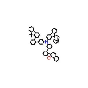 CC1(C)c2ccccc2-c2cccc(-c3ccccc3-c3ccc(N(c4cccc(-c5cccc6oc7c8ccccc8ccc7c56)c4)c4ccc5c(c4)C4(c6ccccc6-5)C5CC6CC(C5)CC4C6)cc3)c21